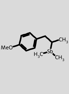 COc1ccc(C[CH](C)[Sb]([CH3])[CH3])cc1